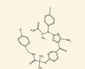 C[C@H](C(N)=O)N(c1ccc(F)cc1)c1nc(N)c(C(=O)c2ccc(OC(C)(C)C(=O)NCc3ccc(Cl)cc3)cc2)s1